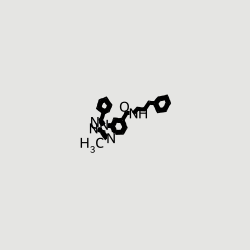 Cc1nc2ccc(C(=O)NCCCc3ccccc3)cc2n2c(-c3ccccc3)nnc12